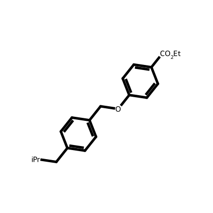 CCOC(=O)c1ccc(OCc2ccc(CC(C)C)cc2)cc1